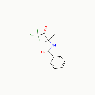 CC(C)(NC(=O)c1ccccc1)C(=O)C(F)(F)F